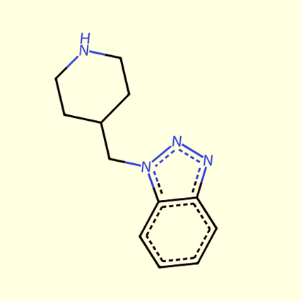 c1ccc2c(c1)nnn2CC1CCNCC1